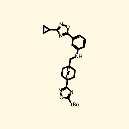 CC(C)(C)c1nc(C23CCC(CNc4cccc(-c5nc(C6CC6)no5)c4)(CC2)CC3)no1